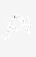 COCC(C)N(C(=O)O)[C@@H]1CC[C@H](c2cc(NC(=O)Cc3cnc(OC)cn3)n[nH]2)C1